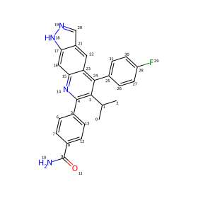 CC(C)c1c(-c2ccc(C(N)=O)cc2)nc2cc3[nH]ncc3cc2c1-c1ccc(F)cc1